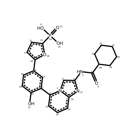 O=C(Nc1cn2c(-c3cc(-c4ccc(P(=O)(O)O)o4)ccc3O)cccc2n1)C1CCCCC1